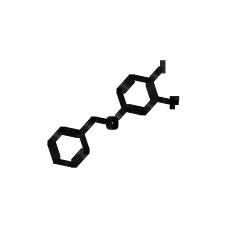 Fc1cc(OCc2ccccc2)ccc1I